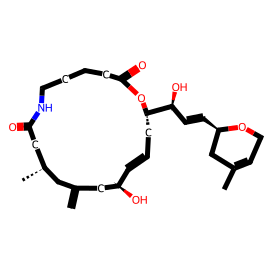 C=C1C[C@H](C)CC(=O)NCCCCC(=O)O[C@H]([C@@H](O)/C=C/[C@@H]2CC(C)=CCO2)C/C=C/[C@@H](O)C1